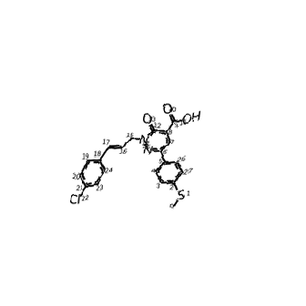 CSc1ccc(-c2cc(C(=O)O)c(=O)n(C/C=C/c3ccc(Cl)cc3)n2)cc1